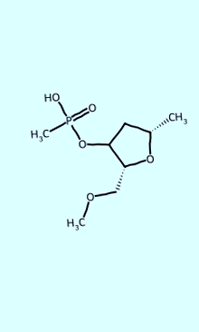 COC[C@H]1O[C@@H](C)CC1OP(C)(=O)O